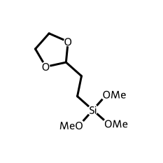 CO[Si](CCC1OCCO1)(OC)OC